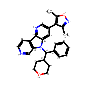 Cc1noc(C)c1-c1cnc2c3ccncc3n(C(c3ccccc3)C3CCOCC3)c2c1